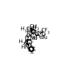 CC(C)(C)[C@H](NC(=O)C(F)(F)F)C(=O)N1C[C@H]2[C@H]([C@H]1C(=O)N[C@@H](Cn1c(=O)[nH]c3ccccc31)C(N)=O)C2(C)C